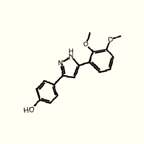 COc1cccc(-c2cc(-c3ccc(O)cc3)n[nH]2)c1OC